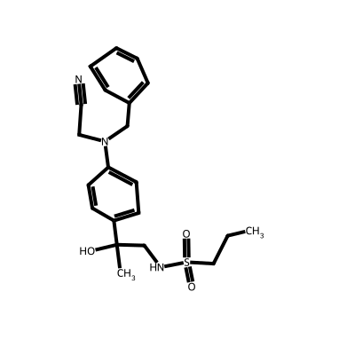 CCCS(=O)(=O)NCC(C)(O)c1ccc(N(CC#N)Cc2ccccc2)cc1